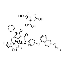 COc1ccc2c(Oc3ccc(NC(=O)c4c(C)n(C[C@@H](C)[C@](C)(N)C(=O)O)n(-c5ccccc5)c4=O)nc3)ccnc2c1.O=C(O)CC(O)(CC(=O)O)C(=O)O